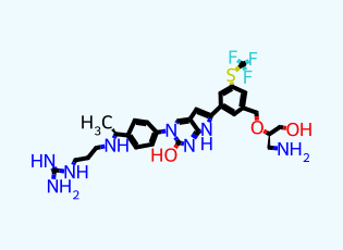 C[C@H](NCCCNC(=N)N)c1ccc(N2C=c3cc(-c4cc(CO[C@H](CN)CO)cc(SC(F)(F)F)c4)[nH]c3=NC2O)cc1